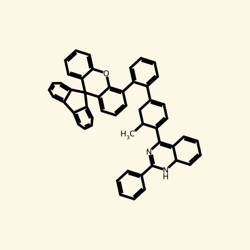 CC1CC(c2ccccc2-c2cccc3c2Oc2ccccc2C32c3ccccc3-c3ccccc32)=CC=C1C1=C2C=CC=CC2NC(c2ccccc2)=N1